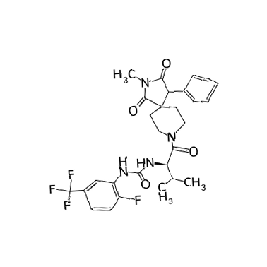 CC(C)[C@@H](NC(=O)Nc1cc(C(F)(F)F)ccc1F)C(=O)N1CCC2(CC1)C(=O)N(C)C(=O)C2c1ccccc1